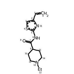 C=Cc1csc(NC(=O)C2CCN(CC)CC2)n1